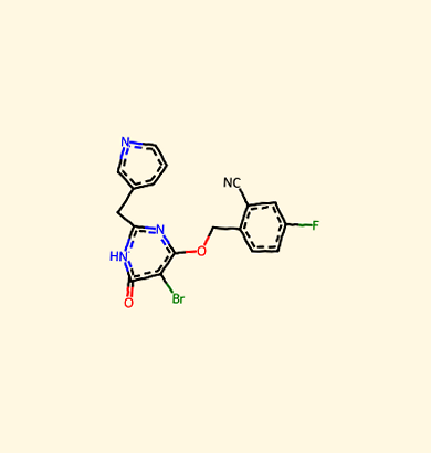 N#Cc1cc(F)ccc1COc1nc(Cc2cccnc2)[nH]c(=O)c1Br